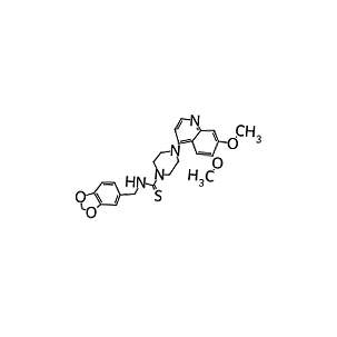 COc1cc2nccc(N3CCN(C(=S)NCc4ccc5c(c4)OCO5)CC3)c2cc1OC